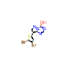 Oc1ncnc2c(-c3cc(Br)c(Br)s3)cnn12